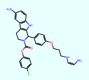 N/C=C\NCCCOc1ccc(C2c3[nH]c4ccc(N)cc4c3CCN2C(=O)Oc2ccc(Cl)cc2)cc1